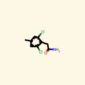 Cc1cc(Cl)c(CC(N)=O)c(Cl)c1